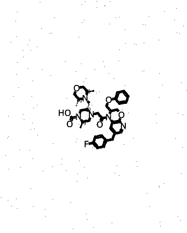 C[C@@H]1CN(CC(=O)N2c3cc(Cc4ccc(F)cc4)cnc3OCC2COc2ccccc2)[C@@H](CN2[C@H](C)COC[C@H]2C)CN1C(=O)O